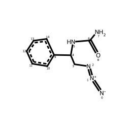 [N-]=[N+]=NCC(NC(N)=O)c1ccccc1